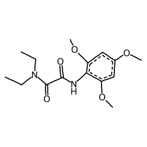 CCN(CC)C(=O)C(=O)Nc1c(OC)cc(OC)cc1OC